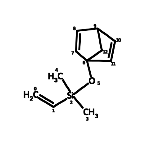 C=C[Si](C)(C)OC12C=CC(C=C1)C2